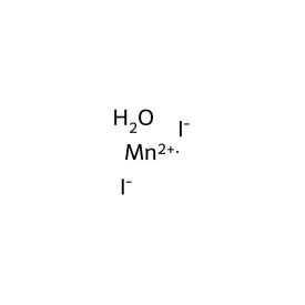 O.[I-].[I-].[Mn+2]